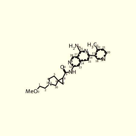 COCCN1CCC2(CC2C(=O)Nc2cc3cc(-c4cnccc4C)nc(N)c3cn2)C1